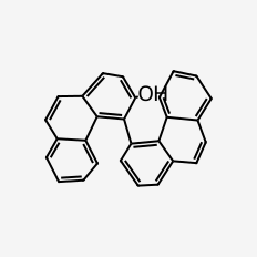 Oc1ccc2ccc3ccccc3c2c1-c1cccc2ccc3ccccc3c12